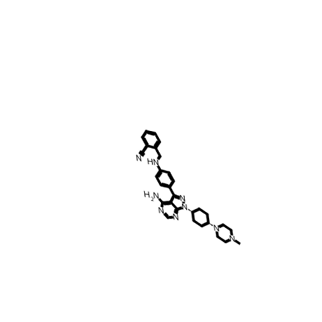 CN1CCN([C@H]2CC[C@@H](n3nc(-c4ccc(NCc5ccccc5C#N)cc4)c4c(N)ncnc43)CC2)CC1